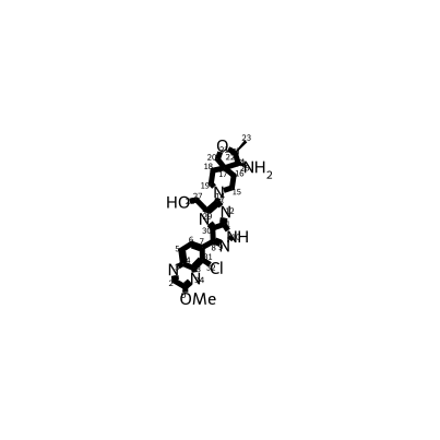 COc1cnc2ccc(-c3n[nH]c4nc(N5CCC6(CC5)CO[C@@H](C)[C@H]6N)c(CO)nc34)c(Cl)c2n1